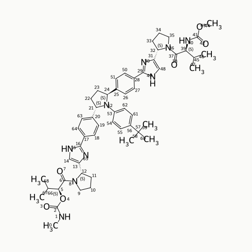 CNC(=O)O[C@H](C(=O)N1CCC[C@H]1c1c[nH]c(-c2ccc([C@@H]3CC[C@@H](c4ccc(-c5nc([C@@H]6CCCN6C(=O)[C@@H](NC(=O)OC)C(C)C)c[nH]5)cc4)N3c3ccc(C(C)(C)C)cc3)cc2)n1)C(C)C